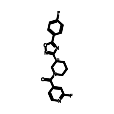 O=C(c1ccnc(F)c1)N1CCC[C@H](c2noc(-c3ccc(F)cc3)n2)C1